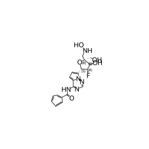 O=C(Nc1ncnn2c([C@@H]3O[C@@](CO)(CNO)[C@@H](O)[C@H]3F)ccc12)c1ccccc1